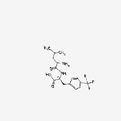 CC(C)CC(N)C(=O)N[C@@H](Cc1ccc(C(F)(F)F)cc1)C(=O)O